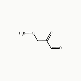 BOCC(=O)C=O